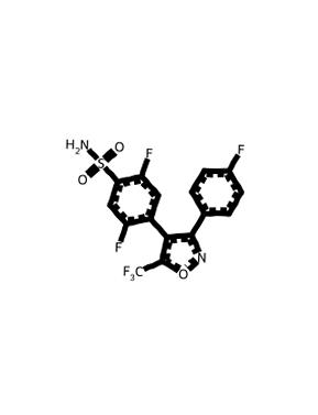 NS(=O)(=O)c1cc(F)c(-c2c(-c3ccc(F)cc3)noc2C(F)(F)F)cc1F